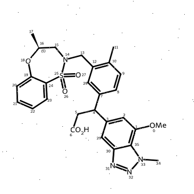 COc1cc(C(CC(=O)O)c2ccc(C)c(CN3C[C@H](C)Oc4ccccc4S3(=O)=O)c2)cc2nnn(C)c12